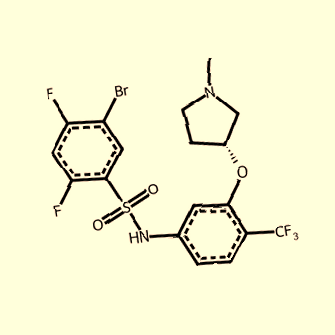 CN1CC[C@@H](Oc2cc(NS(=O)(=O)c3cc(Br)c(F)cc3F)ccc2C(F)(F)F)C1